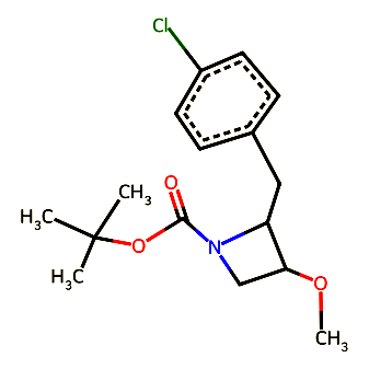 COC1CN(C(=O)OC(C)(C)C)C1Cc1ccc(Cl)cc1